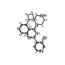 Brc1cnccc1-c1nc(N2CCNCC2)c2c(C3CCC3)cncc2n1